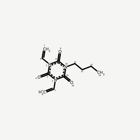 C=Cn1c(=O)n(C=C)c(=O)n(CCCC)c1=O